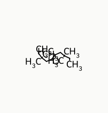 CCC(C)(C)CC1OC1(C)CC(C)(C)CC